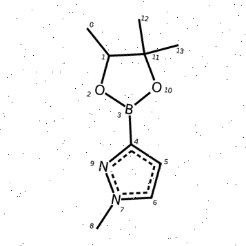 CC1OB(c2ccn(C)n2)OC1(C)C